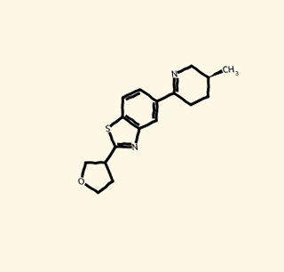 C[C@H]1CCC(c2ccc3sc(C4CCOC4)nc3c2)=NC1